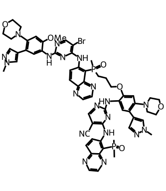 COc1cc(N2CCOCC2)c(-c2cnn(C)c2)cc1Nc1ncc(Br)c(Nc2ccc3nccnc3c2P(C)(=O)CCCOc2cc(N3CCOCC3)c(-c3cnn(C)c3)cc2Nc2ncc(C#N)c(Nc3ccc4nccnc4c3P(C)(C)=O)n2)n1